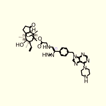 C=C[C@]1(C)C[C@@H](OC(=O)CN/C=C(\N=N)c2ccc(Cn3cnc4c(N5CCNCC5)ncnc43)cc2)[C@]2(C)C(C)CC[C@]3(CCC(=O)[C@H]32)[C@@H](C)[C@@H]1O